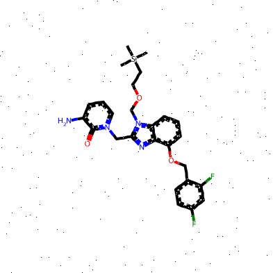 C[Si](C)(C)CCOCn1c(Cn2cccc(N)c2=O)nc2c(OCc3ccc(F)cc3F)cccc21